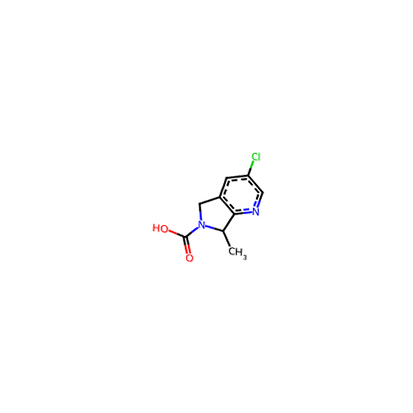 CC1c2ncc(Cl)cc2CN1C(=O)O